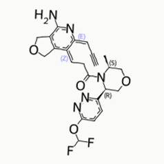 C#C/C=c1/nc(N)c2c(/c1=C/CC(=O)N1[C@@H](C)COC[C@H]1c1ccc(OC(F)F)nn1)COC2